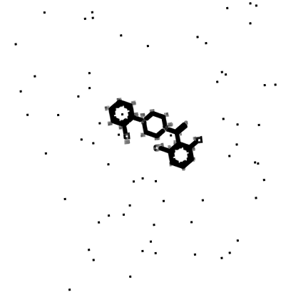 C=C(c1c(Cl)cccc1Cl)N1CCN(c2ccccc2Cl)CC1